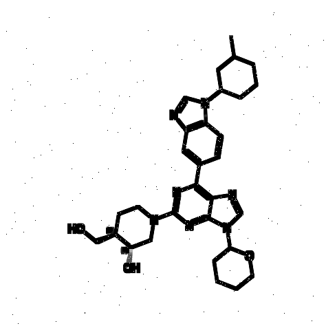 CC1CCCC(n2cnc3cc(-c4nc(N5CC[C@H](CO)[C@@H](O)C5)nc5c4ncn5C4CCCCO4)ccc32)C1